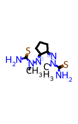 CN(/N=C1/CCC/C1=N\N(C)C(N)=S)C(N)=S